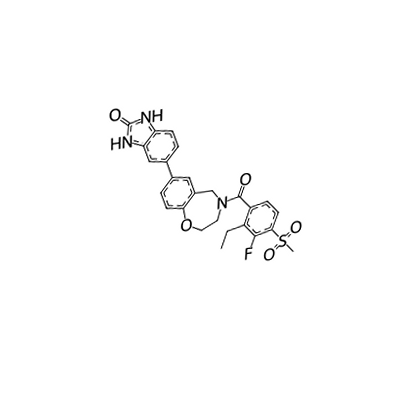 CCc1c(C(=O)N2CCOc3ccc(-c4ccc5[nH]c(=O)[nH]c5c4)cc3C2)ccc(S(C)(=O)=O)c1F